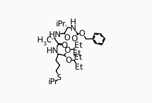 CCC(CC)OC(OC(CC)CC)C(CCCSC(C)C)NC(=O)[C@H](C)NC(=O)[C@@H](NC(=O)OCc1ccccc1)C(C)C